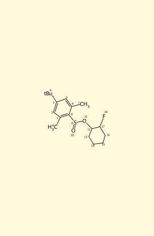 Cc1cc(C(C)(C)C)cc(C)c1S(=O)OC1CCCCC1F